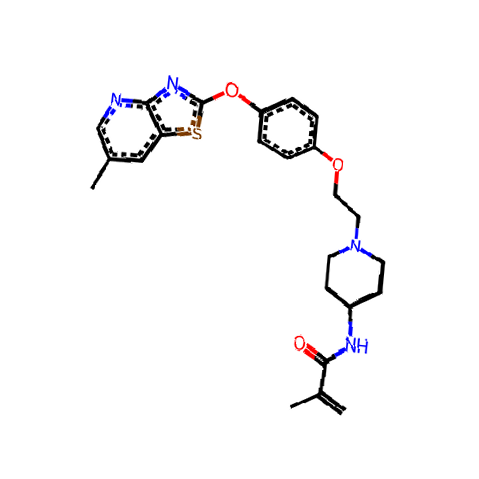 C=C(C)C(=O)NC1CCN(CCOc2ccc(Oc3nc4ncc(C)cc4s3)cc2)CC1